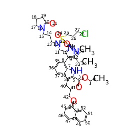 CCOC(=O)c1[nH]c2c(-c3c(CN(CCCN4CCCC4=O)S(=O)(=O)CCCCl)nn(C)c3CC)cccc2c1CCCOc1cccc2ccccc12